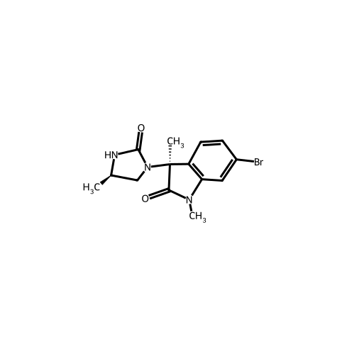 C[C@@H]1CN([C@]2(C)C(=O)N(C)c3cc(Br)ccc32)C(=O)N1